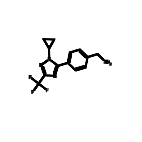 NCc1ccc(-c2nc(C(F)(F)F)nn2C2CC2)cc1